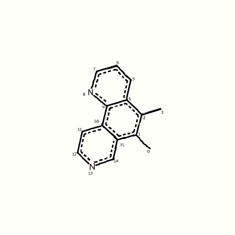 Cc1c(C)c2cccnc2c2ccncc12